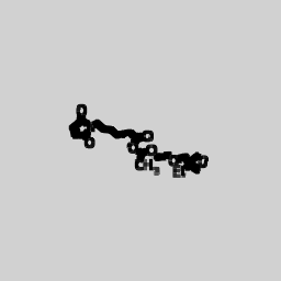 CCC1(COCCOC(C)OC(=O)CCCCCN2C(=O)C=CC2=O)COC1